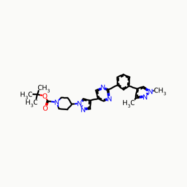 Cc1nn(C)cc1-c1cccc(-c2ncc(-c3cnn(C4CCN(C(=O)OC(C)(C)C)CC4)c3)cn2)c1